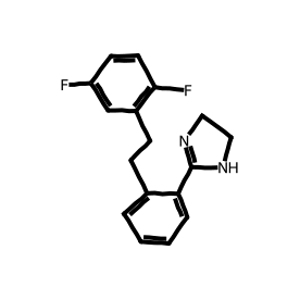 Fc1ccc(F)c(CCc2ccccc2C2=NCCN2)c1